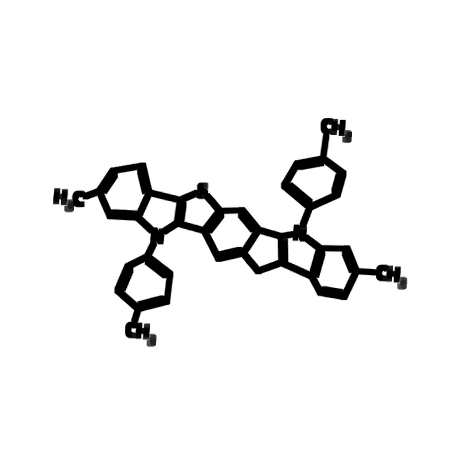 Cc1ccc(-n2c3c(c4ccc(C)cc42)Cc2cc4c(cc2-3)sc2c3ccc(C)cc3n(-c3ccc(C)cc3)c42)cc1